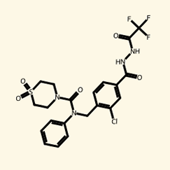 O=C(NNC(=O)C(F)(F)F)c1ccc(CN(C(=O)N2CCS(=O)(=O)CC2)c2ccccc2)c(Cl)c1